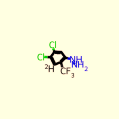 [2H]c1c(Cl)c(Cl)cc(NN)c1C(F)(F)F